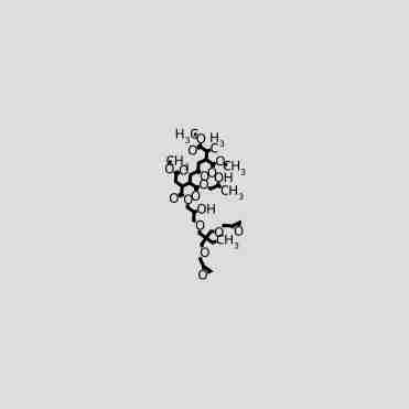 CCC(COCC(O)COC(=O)C(CC(=O)OC)C(CC(=O)CC(C(=O)OC)C(C)C(=O)OC)C(=O)OCC(C)O)(COCC1CO1)COCC1CO1